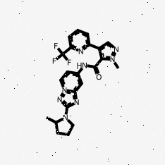 CC1CCCN1c1nc2cc(NC(=O)c3c(-c4cccc(C(F)(F)F)n4)cnn3C)ccn2n1